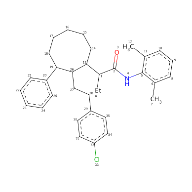 CCC(C(=O)Nc1c(C)cccc1C)C1CCCCCC(c2ccccc2)C1CCc1ccc(Cl)cc1